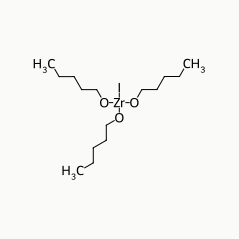 CCCCC[O][Zr]([I])([O]CCCCC)[O]CCCCC